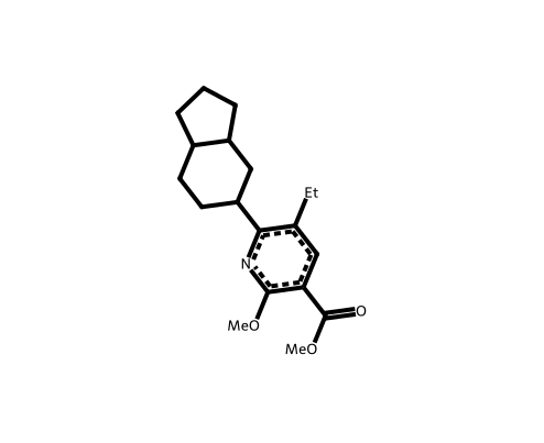 CCc1cc(C(=O)OC)c(OC)nc1C1CCC2CCCC2C1